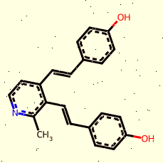 Cc1nccc(C=Cc2ccc(O)cc2)c1C=Cc1ccc(O)cc1